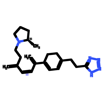 C=C(/C=C\C(=C)C1=CC=C(CCc2nnn[nH]2)CC1)CCN1CCC[C@H]1C